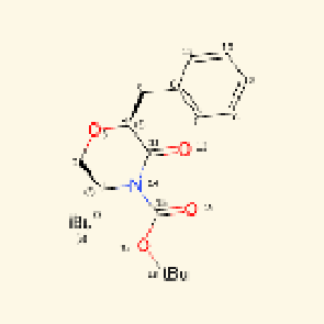 CC[C@H](C)[C@H]1CO[C@@H](Cc2ccccc2)C(=O)N1C(=O)OC(C)(C)C